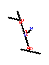 CCCCCCCCC(CCCCCC)C(=O)OCCCCCCCCN(CCCCCCCCOC(=O)C(CCCCCC)CCCCCCCC)OC(=O)CCCN(C)C